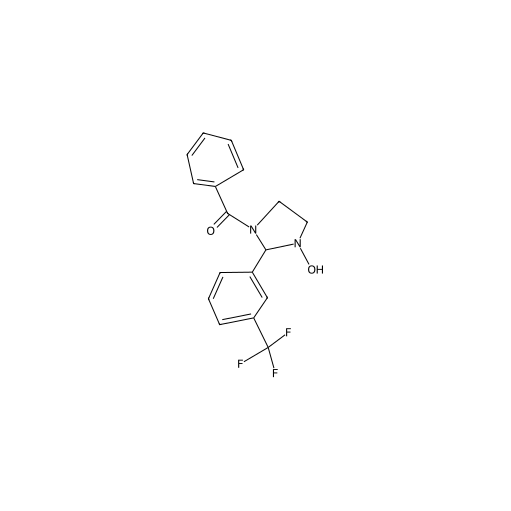 O=C(c1ccccc1)N1CCN(O)C1c1cccc(C(F)(F)F)c1